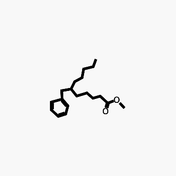 CCCCCC(CCCCC(=O)OC)Cc1ccccc1